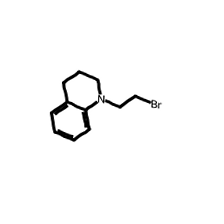 BrCCN1CCCc2ccccc21